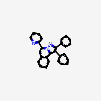 c1ccc(-c2nn3c(-c4ccccn4)cc4ccccc4c3c2-c2ccccc2)cc1